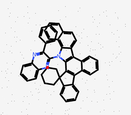 c1ccc(-c2nc3ccccc3nc2-n2c3c4c(c5ccccc5c3c3ccc5ccccc5c32)-c2ccccc2C42CCCCC2)cc1